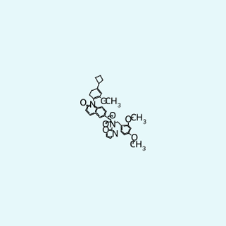 COC1=C(n2c(=O)ccc3cc(S(=O)(=O)N(Cc4ccc(OC)cc4OC)c4ncco4)ccc32)CCC(C2CCC2)=C1